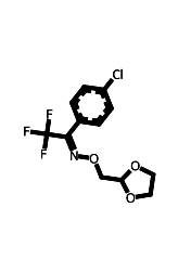 FC(F)(F)/C(=N/OCC1OCCO1)c1ccc(Cl)cc1